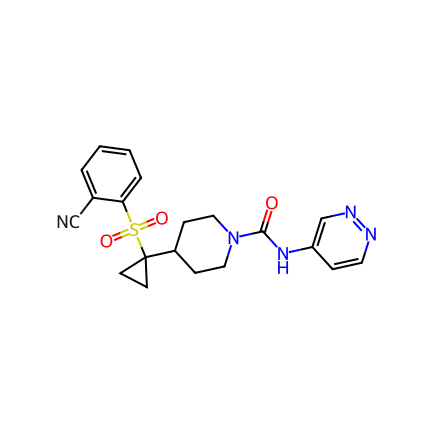 N#Cc1ccccc1S(=O)(=O)C1(C2CCN(C(=O)Nc3ccnnc3)CC2)CC1